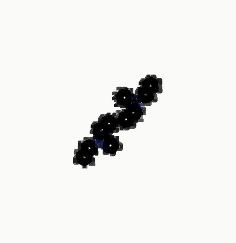 c1ccc2cc(-n3c4ccccc4c4c5cc(-c6ccc7ccc8c(c7c6)c6ccccc6n8-c6ccc7ccccc7c6)ccc5ccc43)ccc2c1